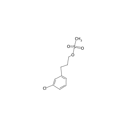 CS(=O)(=O)OCCCc1cccc(Cl)c1